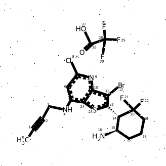 CC#CCNc1cc(Cl)nc2c(Br)c([C@H]3[C@H](N)CCCC3(F)F)sc12.O=C(O)C(F)(F)F